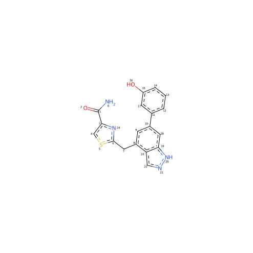 NC(=O)c1csc(Cc2cc(-c3cccc(O)c3)cc3[nH]ncc23)n1